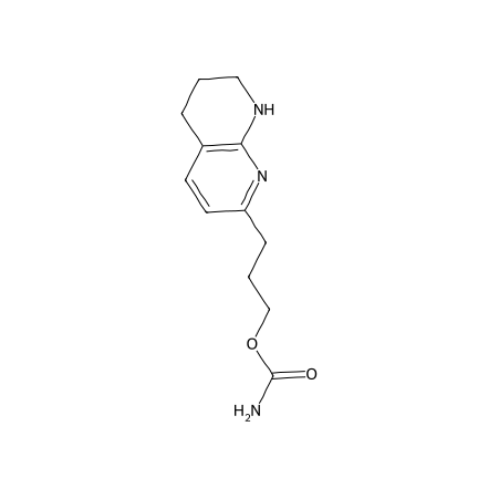 NC(=O)OCCCc1ccc2c(n1)NCCC2